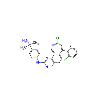 CC(C)(N)c1ccc(Nc2ncc3c(n2)C2=CN=C(Cl)C=C(c4c(F)cccc4F)C2=CC3)cc1